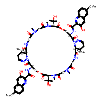 COc1ccc2nc(C(=O)N[C@@H]3COC(=O)[C@H](C(C)(C)O)N(C)C(=O)CN(C)C(=O)CNC(=O)[C@@H]4[C@@H](OC(C)=O)CC=NN4C(=O)[C@H](NC(=O)c4nc5ccc(OC)cc5cc4O)COC(=O)[C@H](C(C)(C)O)N(C)C(=O)CN(C)C(=O)CNC(=O)[C@@H]4[C@@H](OC(C)=O)CC=NN4C3=O)c(O)cc2c1